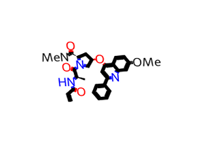 C=CC(=O)N[C@H](C)C(=O)N1C[C@H](Oc2cc(-c3ccccc3)nc3cc(OC)ccc23)C[C@H]1C(=O)NC